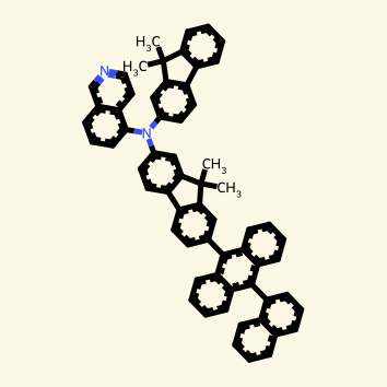 CC1(C)c2ccccc2-c2ccc(N(c3ccc4c(c3)C(C)(C)c3cc(-c5c6ccccc6c(-c6cccc7ccccc67)c6ccccc56)ccc3-4)c3cccc4cnccc34)cc21